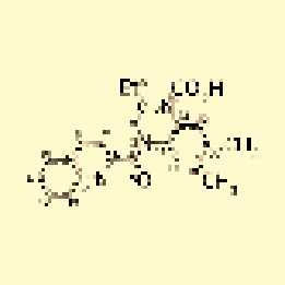 CCC1CN(C(=O)c2ccc3ccccc3n2)c2cc(C)c(C)cc2N1C(=O)O